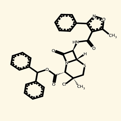 Cc1onc(-c2ccccc2)c1C(=O)N[C@@H]1C(=O)N2[C@@H](C(=O)OC(c3ccccc3)c3ccccc3)[C@](C)(Cl)CS[C@@H]12